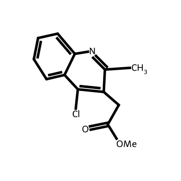 COC(=O)Cc1c(C)nc2ccccc2c1Cl